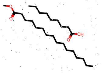 CCCCCCCCC(=O)O.CCCCCCCCCCCCCCCC(=O)OC